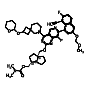 C#Cc1c(F)ccc2cc(OCOC)cc(-c3ncc4c(N5CCCC6(CC(OC7CCCCO7)C6)C5)nc(OC[C@]56CCCN5[C@H](COC(=O)N(C)C)CC6)nc4c3F)c12